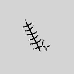 [O-][S+](NF)C(F)(F)C(F)(F)C(F)(F)C(F)(F)C(F)(F)C(F)(F)F